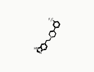 FC(F)(F)c1cccc(C2=CCN(CCc3ccc4nc[nH]c4c3)CC2)c1